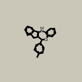 Cc1ccc(C2Oc3ccccc3NC3=C2Cc2ccccc23)cc1